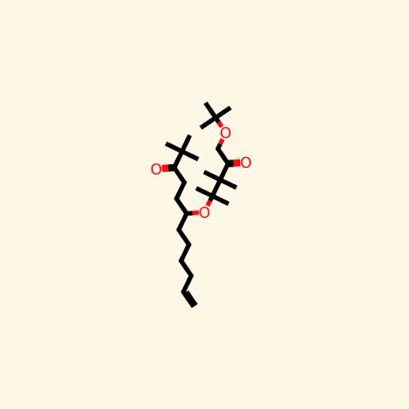 C=CCCCCC(CCC(=O)C(C)(C)C)OC(C)(C)C(C)(C)C(=O)COC(C)(C)C